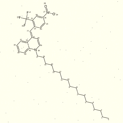 CCCCCCCCCCCCCCCCCCN1C=CC(=Cc2ccc([N+](=O)[O-])cc2C(F)(F)F)c2ccccc21